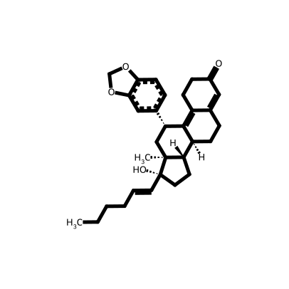 CCCC/C=C/[C@]1(O)CC[C@H]2[C@@H]3CCC4=CC(=O)CCC4=C3[C@@H](c3ccc4c(c3)OCO4)C[C@@]21C